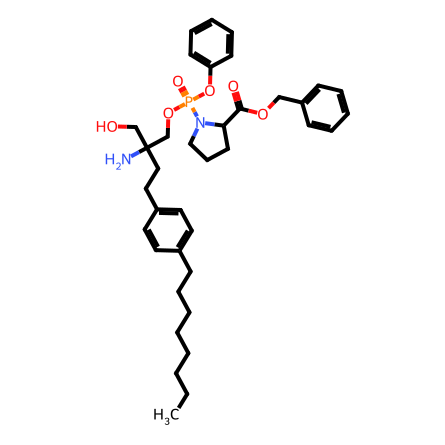 CCCCCCCCc1ccc(CCC(N)(CO)COP(=O)(Oc2ccccc2)N2CCCC2C(=O)OCc2ccccc2)cc1